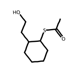 CC(=O)SC1CCCCC1CCO